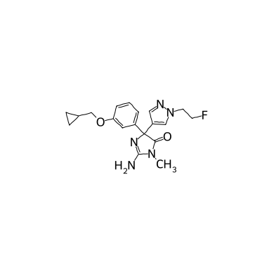 CN1C(=O)C(c2cccc(OCC3CC3)c2)(c2cnn(CCF)c2)N=C1N